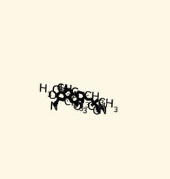 CCC(C)(CC[C@]1(C)CC[C@]2(C)[C@@H](C1)C(=O)C=C1[C@@]3(C)C=C(C#N)C(=O)C(C)(C)[C@@H]3CC[C@]12C)c1nnco1